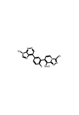 CCn1cnc2c(-c3ccc(F)c(-c4ccn5c(C(C)C)nnc5c4OC)c3)cnnc21